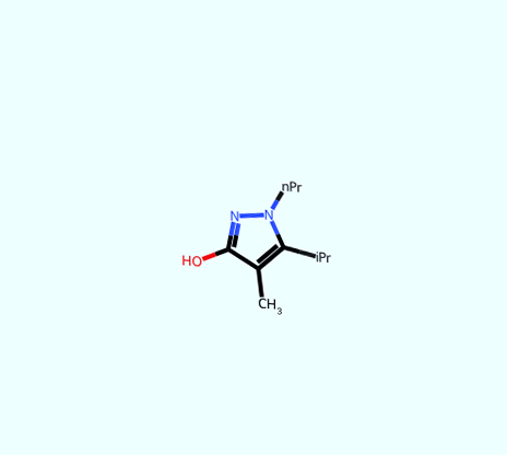 CCCn1nc(O)c(C)c1C(C)C